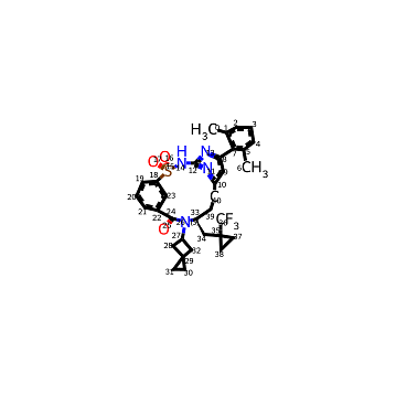 Cc1cccc(C)c1-c1cc2nc(n1)NS(=O)(=O)c1cccc(c1)C(=O)N(C1CC3(CC3)C1)[C@H](CC1(C(F)(F)F)CC1)CC2